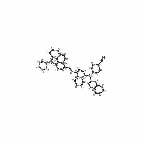 N#Cc1ccc(N(c2ccc3ccccc3c2)c2ccc(/C=C/c3ccc4c5c3ccc3cccc(c35)n4-c3ccccc3)c3ccccc23)cc1